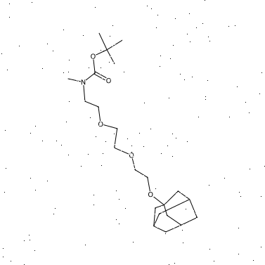 CN(CCOCCOCCOC12CC3CC(CC(C3)C1)C2)C(=O)OC(C)(C)C